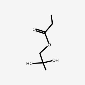 CCC(=O)OCC(C)(O)O